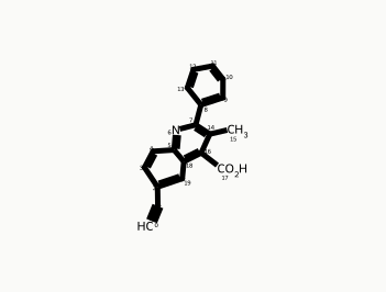 C#Cc1ccc2nc(-c3ccccc3)c(C)c(C(=O)O)c2c1